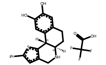 CC(C)c1cc2c(s1)[C@@H]1c3cc(O)c(O)cc3CC[C@H]1NC2.O=C(O)C(F)(F)F